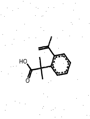 C=C(C)c1ccccc1C(C)(C)C(=O)O